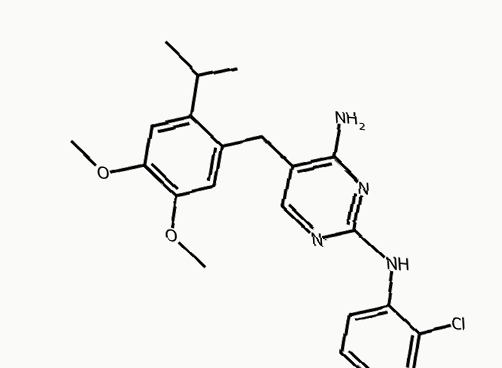 COc1cc(Cc2cnc(Nc3ccccc3Cl)nc2N)c(C(C)C)cc1OC